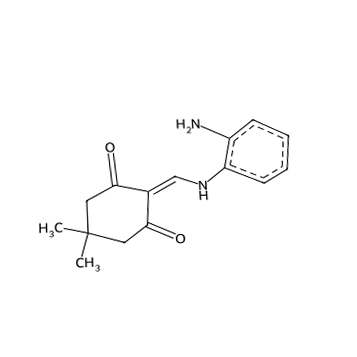 CC1(C)CC(=O)C(=CNc2ccccc2N)C(=O)C1